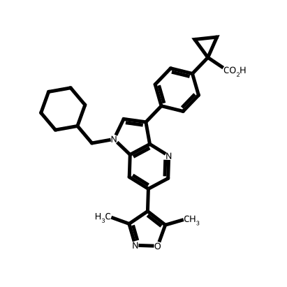 Cc1noc(C)c1-c1cnc2c(-c3ccc(C4(C(=O)O)CC4)cc3)cn(CC3CCCCC3)c2c1